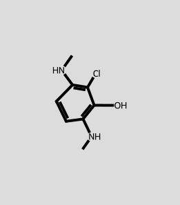 CNc1ccc(NC)c(Cl)c1O